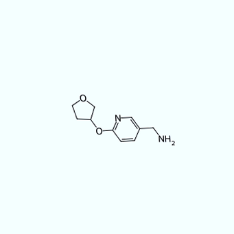 NCc1ccc(OC2CCOC2)nc1